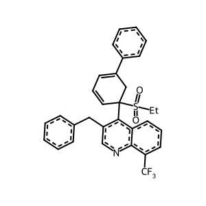 CCS(=O)(=O)C1(c2c(Cc3ccccc3)cnc3c(C(F)(F)F)cccc23)C=CC=C(c2ccccc2)C1